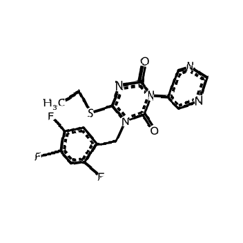 CCSc1nc(=O)n(-c2cncnc2)c(=O)n1Cc1cc(F)c(F)cc1F